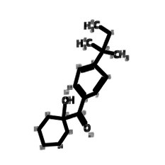 CCC(C)(C)c1ccc(C(=O)C2(O)CCCCC2)cc1